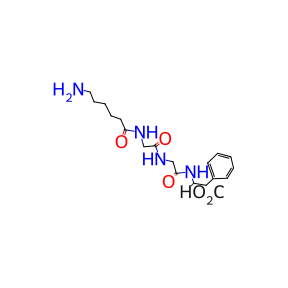 NCCCCCC(=O)NCC(=O)NCC(=O)NC(Cc1ccccc1)C(=O)O